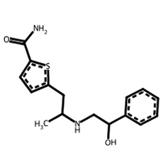 CC(Cc1ccc(C(N)=O)s1)NCC(O)c1ccccc1